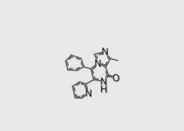 Cc1ncn2c(-c3ccccc3)c(-c3ccccn3)[nH]c(=O)c12